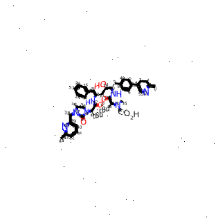 Cc1ccc(-c2ccc(C[C@H](NC(=O)[C@@H](N(C)C(=O)O)C(C)(C)C)[C@@H](O)C[C@H](Cc3ccccc3)NC(=O)[C@@H](N3CCN(Cc4cccc(C)n4)C3=O)C(C)(C)C)cc2)cn1